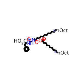 CCCCCCCC/C=C/CCCCCCCC(=O)OC(CCCCCCC/C=C/CCCCCCCC)CC(=O)NCC(=O)N[C@@H](Cc1ccccc1)C(=O)O